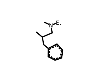 CCN(C)CC(C)Cc1ccccc1